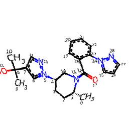 C[C@@H]1CC[C@@H](n2cc(C(C)(C)O)cn2)CN1C(=O)c1ccccc1-n1cccn1